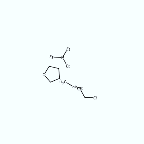 C1CCOC1.CCCCCC.CCN(CC)CC.ClCCl